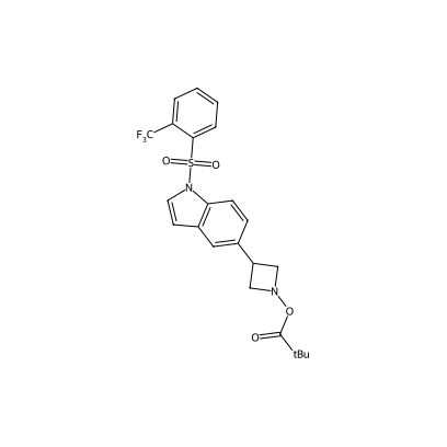 CC(C)(C)C(=O)ON1CC(c2ccc3c(ccn3S(=O)(=O)c3ccccc3C(F)(F)F)c2)C1